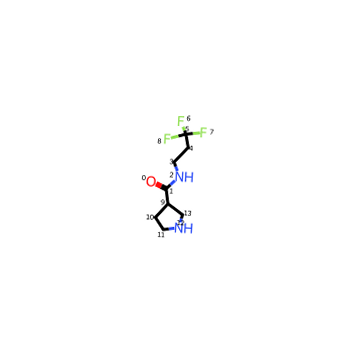 O=C(NCCC(F)(F)F)C1CCNC1